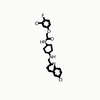 O=C(COc1ccc(F)c(Cl)c1)NC1CCC(NCc2ccc3cc(Cl)ccc3n2)CC1